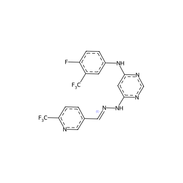 Fc1ccc(Nc2cc(N/N=C/c3ccc(C(F)(F)F)nc3)ncn2)cc1C(F)(F)F